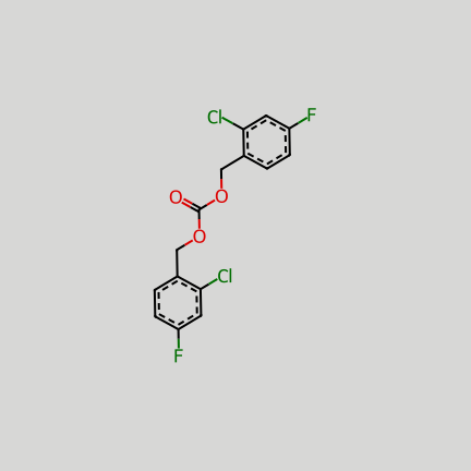 O=C(OCc1ccc(F)cc1Cl)OCc1ccc(F)cc1Cl